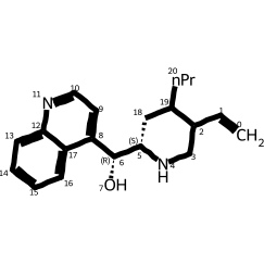 C=CC1CN[C@H]([C@H](O)c2ccnc3ccccc23)CC1CCC